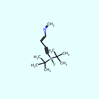 C=N/C=C/C#C[Si](F)(C(C)(C)C)C(C)(C)C